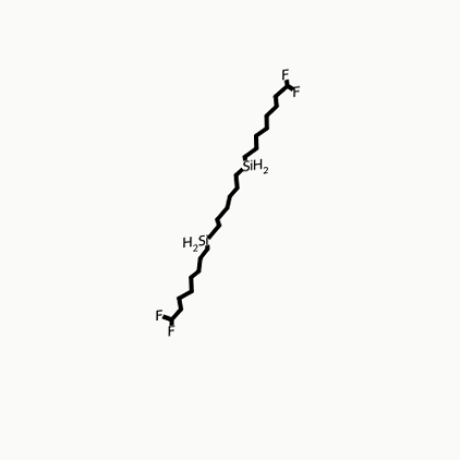 FC(F)CCCCCCC[SiH2]CCCCCC[SiH2]CCCCCCCC(F)F